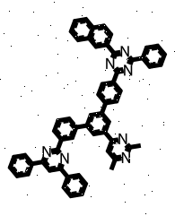 Cc1cc(-c2cc(-c3ccc(-c4nc(-c5ccccc5)nc(-c5ccc6ccccc6c5)n4)cc3)cc(-c3cccc(-c4nc(-c5ccccc5)cc(-c5ccccc5)n4)c3)c2)nc(C)n1